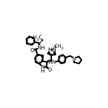 CC[C@@H](NC(=O)c1ccc2c(c1)/C(=C(/Nc1ccc(CN3CCCC3)cc1)c1cnn(C)c1)C(=O)N2)c1ccccc1